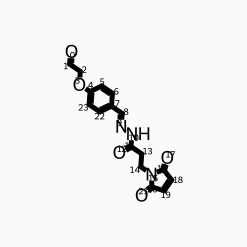 O=CCOc1ccc(/C=N/NC(=O)CCN2C(=O)C=CC2=O)cc1